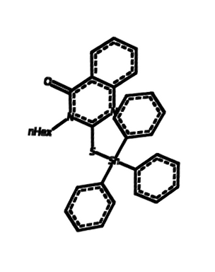 CCCCCCn1c([S][Sn]([c]2ccccc2)([c]2ccccc2)[c]2ccccc2)nc2ccccc2c1=O